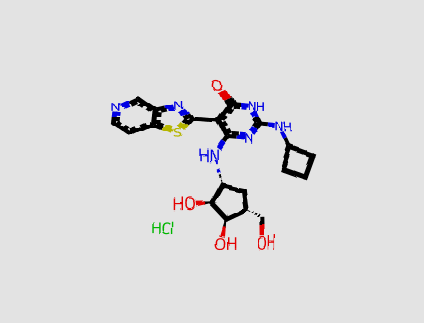 Cl.O=c1[nH]c(NC2CCC2)nc(N[C@@H]2C[C@H](CO)[C@@H](O)[C@H]2O)c1-c1nc2cnccc2s1